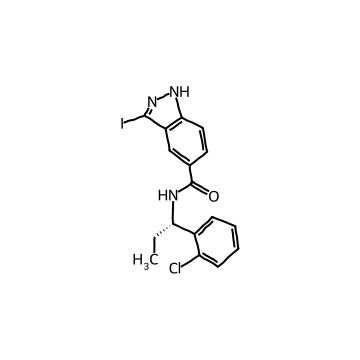 CC[C@H](NC(=O)c1ccc2[nH]nc(I)c2c1)c1ccccc1Cl